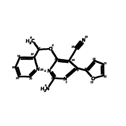 CC(Oc1nc(N)nc(-c2ccco2)c1C#N)c1ccccn1